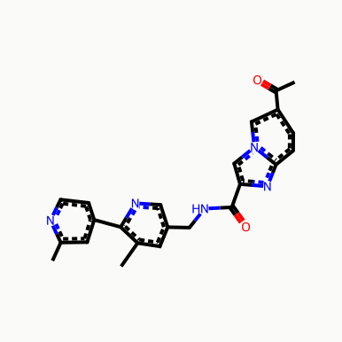 CC(=O)c1ccc2nc(C(=O)NCc3cnc(-c4ccnc(C)c4)c(C)c3)cn2c1